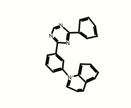 c1ccc(-c2ncnc(-c3cccc(-[n+]4cccc5ccccc54)c3)n2)cc1